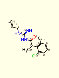 C=CCNC(=N)NC(=O)C(C)c1c(C)cccc1Cl